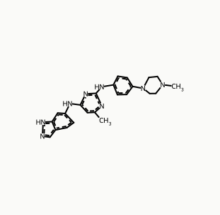 Cc1cc(Nc2ccc3cn[nH]c3c2)nc(Nc2ccc(N3CCN(C)CC3)cc2)n1